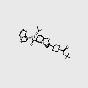 CC(C)Oc1cc2nc(C3CCN(C(=O)OC(C)(C)C)CC3)cn2cc1C(=O)Nc1cnn2cccnc12